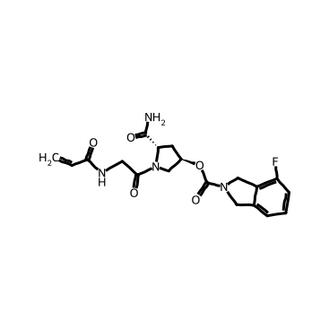 C=CC(=O)NCC(=O)N1C[C@H](OC(=O)N2Cc3cccc(F)c3C2)C[C@H]1C(N)=O